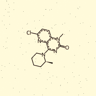 C[C@H]1CCCCN1c1nc(=O)n(C)c2ccc(Cl)nc12